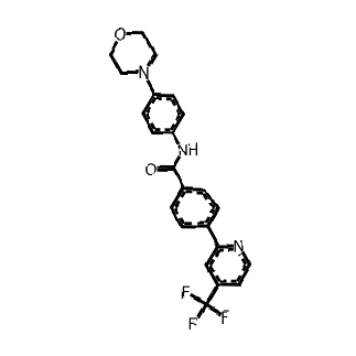 O=C(Nc1ccc(N2CCOCC2)cc1)c1ccc(-c2cc(C(F)(F)F)ccn2)cc1